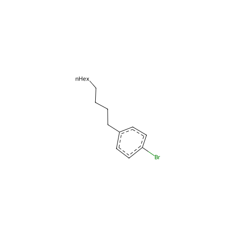 CCCCCCCCCCc1ccc(Br)cc1